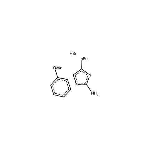 Br.CCCCc1csc(N)n1.COc1ccccc1